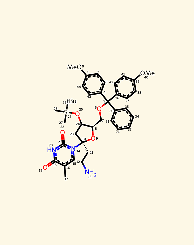 COc1ccc(C(OC[C@H]2O[C@@](CCN)(n3cc(C)c(=O)[nH]c3=O)CC2O[Si](C)(C)C(C)(C)C)(c2ccccc2)c2ccc(OC)cc2)cc1